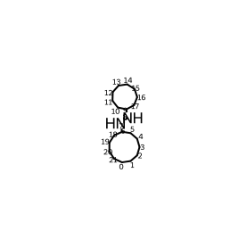 C1CCCCCC(NNC2CCCCCCCC2)CCCC1